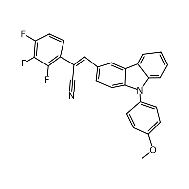 COc1ccc(-n2c3ccccc3c3cc(/C=C(\C#N)c4ccc(F)c(F)c4F)ccc32)cc1